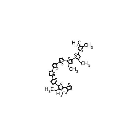 CCc1ccsc1-c1cc(CC)c(-c2ccc(-c3ccc(-c4ccc(-c5ccc(-c6sc(-c7sc(-c8cc(C)c(C)s8)cc7CC)cc6CC)s5)s4)s3)s2)s1